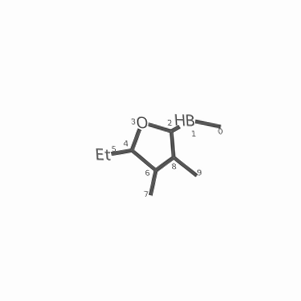 CBC1OC(CC)C(C)C1C